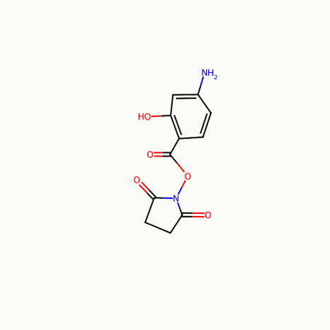 Nc1ccc(C(=O)ON2C(=O)CCC2=O)c(O)c1